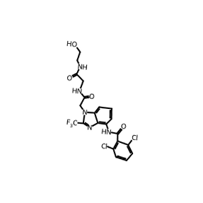 O=C(CNC(=O)Cn1c(C(F)(F)F)nc2c(NC(=O)c3c(Cl)cccc3Cl)cccc21)NCCO